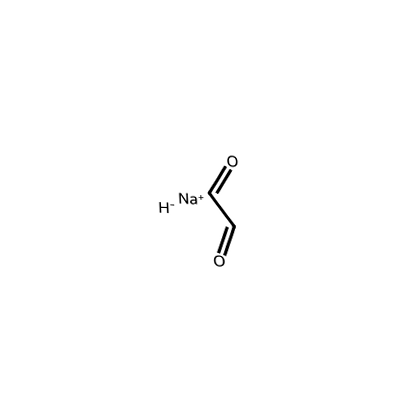 O=CC=O.[H-].[Na+]